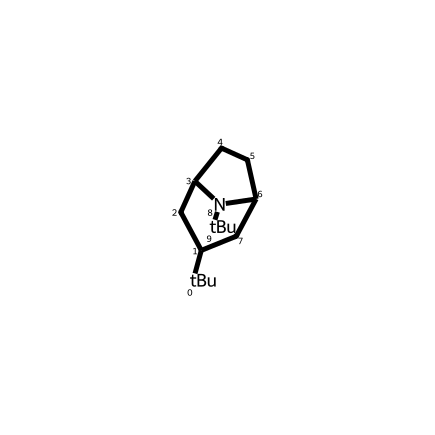 CC(C)(C)C1CC2CCC(C1)N2C(C)(C)C